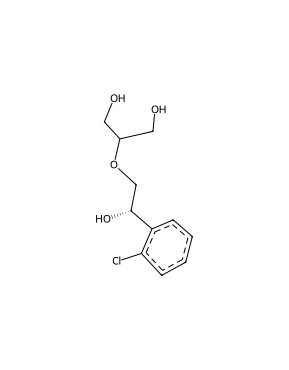 OCC(CO)OC[C@@H](O)c1ccccc1Cl